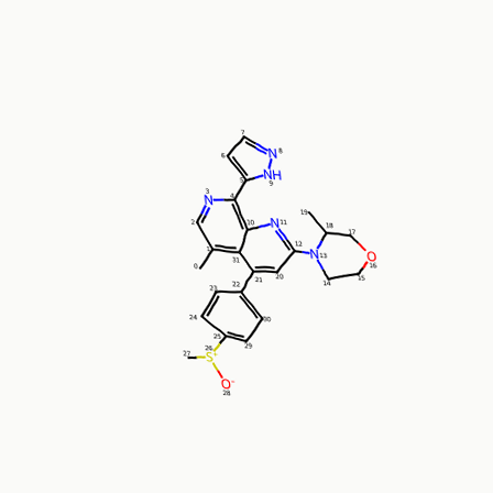 Cc1cnc(-c2ccn[nH]2)c2nc(N3CCOCC3C)cc(-c3ccc([S+](C)[O-])cc3)c12